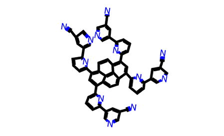 N#Cc1cncc(-c2cccc(-c3cc(-c4cccc(-c5cncc(C#N)c5)n4)c4ccc5c(-c6cccc(-c7cncc(C#N)c7)n6)cc(-c6cccc(-c7cncc(C#N)c7)n6)c6ccc3c4c65)n2)c1